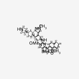 COc1cc(N2CCC(N3CCNCC3)CC2)c(-c2cnn(C)c2)cc1Nc1ncc(Br)c(Nc2ccc3ccccc3c2P(C)(C)=O)n1